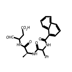 CC(C)C(NC(=O)c1cccc2ccccc12)C(=O)N[C@@H](C)C(=O)NC(C=O)CC(=O)O